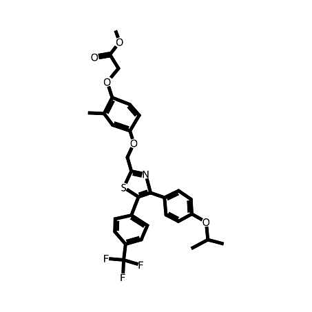 COC(=O)COc1ccc(OCc2nc(-c3ccc(OC(C)C)cc3)c(-c3ccc(C(F)(F)F)cc3)s2)cc1C